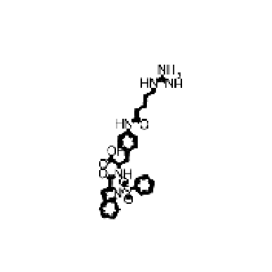 N=C(N)NCCCCC(=O)Nc1ccc(CC(NC(=O)c2cc3ccccc3n2S(=O)(=O)c2ccccc2)C(=O)O)cc1